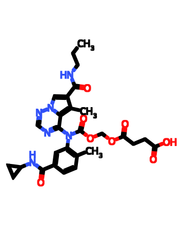 CCCNC(=O)c1cn2ncnc(N(C(=O)OCOC(=O)CCC(=O)O)c3cc(C(=O)NC4CC4)ccc3C)c2c1C